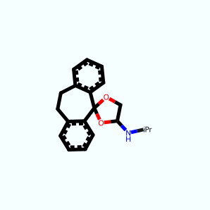 CC(C)NC1COC2(O1)c1ccccc1CCc1ccccc12